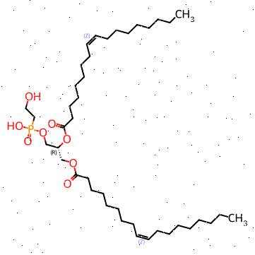 CCCCCCCC/C=C\CCCCCCCC(=O)OC[C@H](COP(=O)(O)CCO)OC(=O)CCCCCCC/C=C\CCCCCCCC